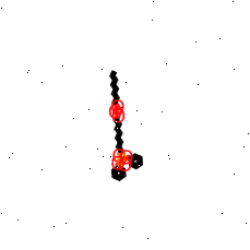 CCCCCCCCOOOCCCCCCCCOP(=O)(Oc1ccccc1)Oc1ccccc1